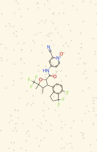 CC1C(c2ccc(F)c3c2CCC3(F)F)C(C(=O)Nc2cc[n+]([O-])c(C#N)c2)OC1(C)C(F)(F)F